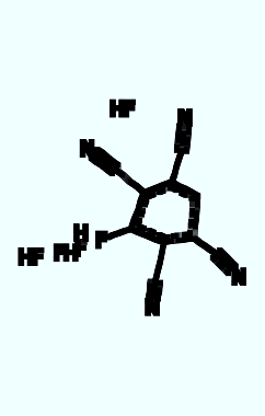 F.F.F.F.N#Cc1cc(C#N)c(C#N)c(F)c1C#N